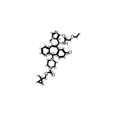 CCOCC(=O)N[C@H](C1=Cc2cccnc2C(N2CCN(C(=O)OCC3(C)CC3)CC2)c2ccc(Cl)cc21)c1cncn1C